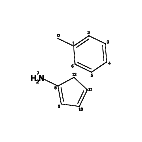 Cc1ccccc1.NC1=CC=CC1